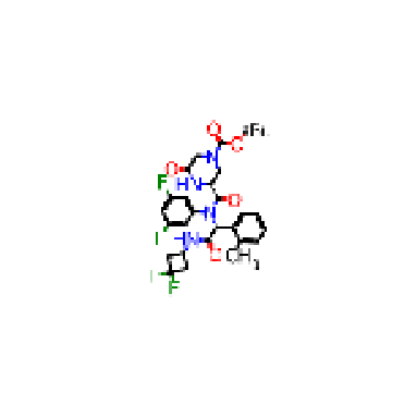 Cc1ccccc1[C@@H](C(=O)NC1CC(F)(F)C1)N(C(=O)[C@@H]1CN(C(=O)OC(C)(C)C)CC(=O)N1)c1cc(F)cc(F)c1